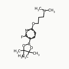 CN(C)CCCOc1ccc(B2OC(C)(C)C(C)(C)O2)c(F)n1